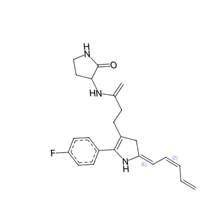 C=C/C=C\C=C1/CC(CCC(=C)NC2CCNC2=O)=C(c2ccc(F)cc2)N1